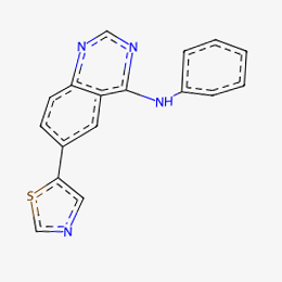 c1ccc(Nc2ncnc3ccc(-c4cncs4)cc23)cc1